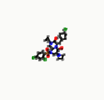 O=C1C(Cc2ccc(Br)cc2)N2C(=O)C(N3CCC3)CN(S(=O)(=O)c3ccc(Cl)cc3Cl)C2=CN1C1CC1